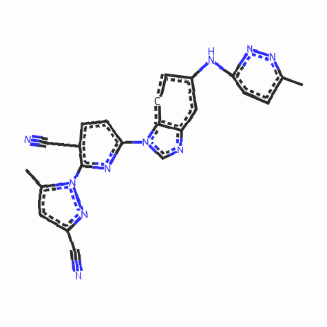 Cc1ccc(Nc2ccc3c(c2)ncn3-c2ccc(C#N)c(-n3nc(C#N)cc3C)n2)nn1